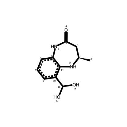 C[C@@H]1CC(=O)Nc2cccc(C(O)O)c2N1